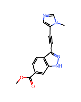 COC(=O)c1ccc2c(C#Cc3cncn3C)n[nH]c2c1